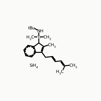 CC(C)=CC=CCC1=C(C)[CH]([Ti]([CH3])([CH3])[NH]C(C)(C)C)c2ccccc21.[SiH4]